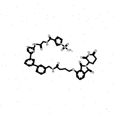 CS(=O)(=O)n1ccc(C(=O)NCC(=O)Nc2nc(-c3cccc(-c4cccc(CNC(=O)CCCOc5cccc6c5C(=O)N(C5CCC(=O)NC5=O)C6=O)c4)c3)cs2)c1